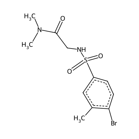 Cc1cc(S(=O)(=O)NCC(=O)N(C)C)ccc1Br